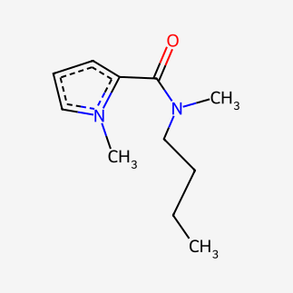 CCCCN(C)C(=O)c1cccn1C